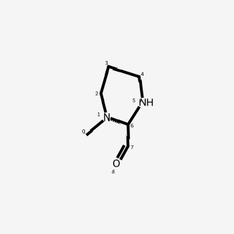 CN1CCCNC1C=O